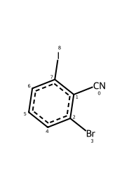 N#Cc1c(Br)cccc1I